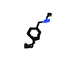 CC(C)COc1ccc(CNC(C)C)cc1